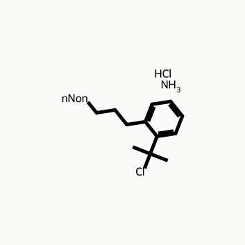 CCCCCCCCCCCCc1ccccc1C(C)(C)Cl.Cl.N